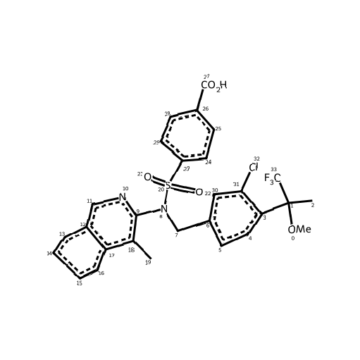 COC(C)(c1ccc(CN(c2ncc3ccccc3c2C)S(=O)(=O)c2ccc(C(=O)O)cc2)cc1Cl)C(F)(F)F